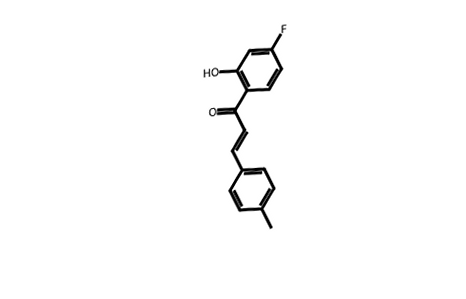 Cc1ccc(C=CC(=O)c2ccc(F)cc2O)cc1